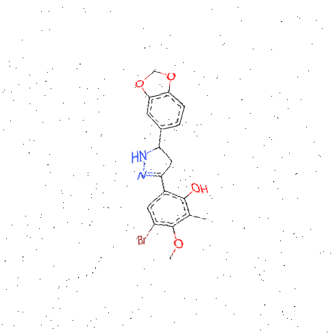 COc1c(Br)cc(C2=NNC(c3ccc4c(c3)OCO4)C2)c(O)c1C